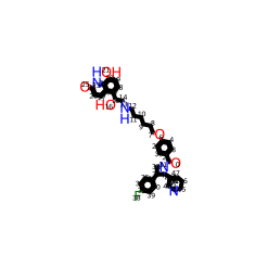 O=C(c1ccc(OCCCCCCNCC(O)c2ccc(O)c3[nH]c(=O)ccc23)cc1)N1CC(c2ccc(F)cc2)C1C1CN2CCC1CC2